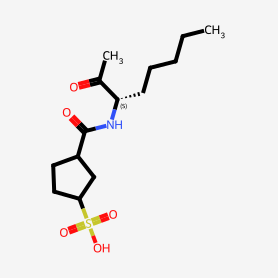 CCCCC[C@H](NC(=O)C1CCC(S(=O)(=O)O)C1)C(C)=O